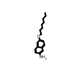 CCCCCCCCOc1ccc2cc(N)ccc2c1